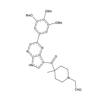 COc1cc(-c2cnc3[nH]cc(C(=O)C4(C)CCN(CC=O)CC4)c3n2)cc(OC)c1OC